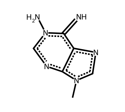 Cn1cnc2c(=N)n(N)cnc21